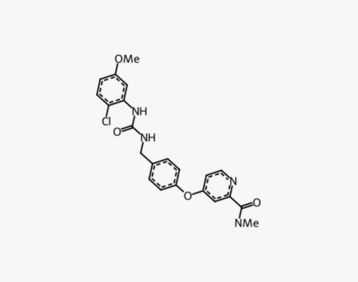 CNC(=O)c1cc(Oc2ccc(CNC(=O)Nc3cc(OC)ccc3Cl)cc2)ccn1